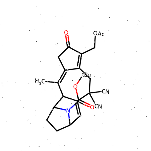 CC(=O)OCC1=C2CC(C#N)(C#N)C3=CC4CCC(C3C(C)=C2CC1=O)N4C(=O)OC(C)(C)C